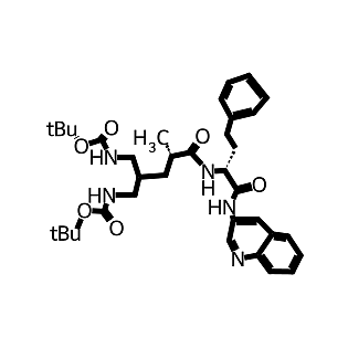 C[C@@H](CC(CNC(=O)OC(C)(C)C)CNC(=O)OC(C)(C)C)C(=O)N[C@H](CCc1ccccc1)C(=O)Nc1cnc2ccccc2c1